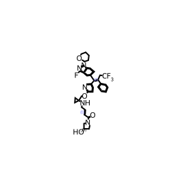 O=C(/C=C/CNC1(COc2ccc(/C(=C(/CC(F)(F)F)c3ccccc3)c3ccc4c(c3)c(F)nn4C3CCCCO3)cn2)CC1)N1CC[C@H](O)C1